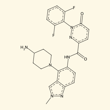 Cn1cc2c(N3CCC(N)CC3)c(NC(=O)c3ccc(=O)n(-c4c(F)cccc4F)n3)ccc2n1